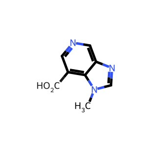 Cn1cnc2cncc(C(=O)O)c21